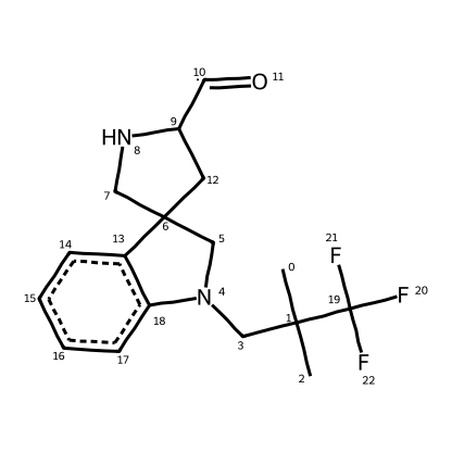 CC(C)(CN1CC2(CNC([C]=O)C2)c2ccccc21)C(F)(F)F